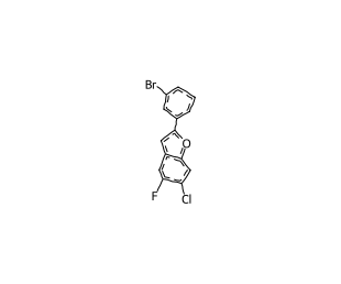 Fc1cc2cc(-c3cccc(Br)c3)oc2cc1Cl